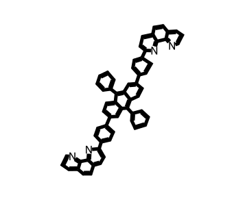 c1ccc(-c2c3ccc(-c4ccc(-c5ccc6ccc7cccnc7c6n5)cc4)cc3c(-c3ccccc3)c3ccc(-c4ccc(-c5ccc6ccc7cccnc7c6n5)cc4)cc23)cc1